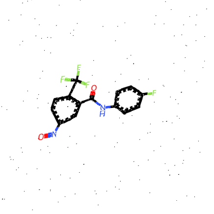 O=Nc1ccc(C(F)(F)F)c(C(=O)Nc2ccc(F)cc2)c1